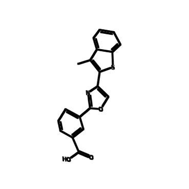 Cc1c(-c2coc(-c3cccc(C(=O)O)c3)n2)sc2ccccc12